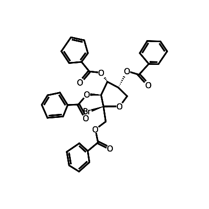 O=C(OC[C@@]1(Br)OC[C@@H](OC(=O)c2ccccc2)[C@@H](OC(=O)c2ccccc2)[C@@H]1OC(=O)c1ccccc1)c1ccccc1